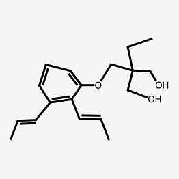 CC=Cc1cccc(OCC(CC)(CO)CO)c1C=CC